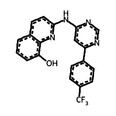 Oc1cccc2ccc(Nc3cc(-c4ccc(C(F)(F)F)cc4)ncn3)nc12